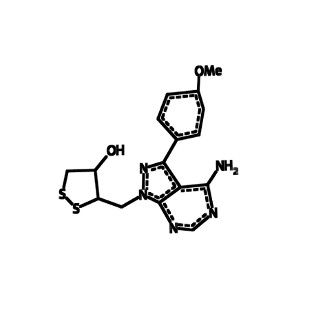 COc1ccc(-c2nn(CC3SSCC3O)c3ncnc(N)c23)cc1